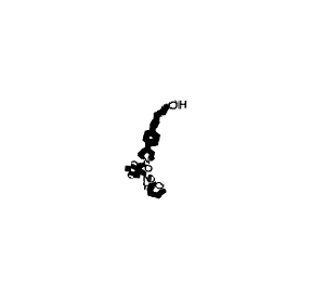 CC(CCN1CC=C(c2ccc(C#CCCCO)cc2)CC1)(C(=O)NOC1CCCCO1)S(C)(=O)=O